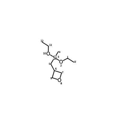 CCO[Si](C)(CC1COC1)OCC